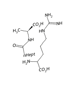 CCCCCCCC(=O)N[C@@H](C)C(=O)O.N=C(N)NCCCC(N)C(=O)O